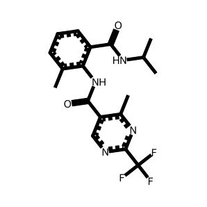 Cc1cccc(C(=O)NC(C)C)c1NC(=O)c1cnc(C(F)(F)F)nc1C